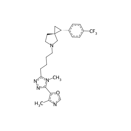 Cc1ncoc1-c1nnc(CCCCN2CC[C@]3(C[C@@H]3c3ccc(C(F)(F)F)cc3)C2)n1C